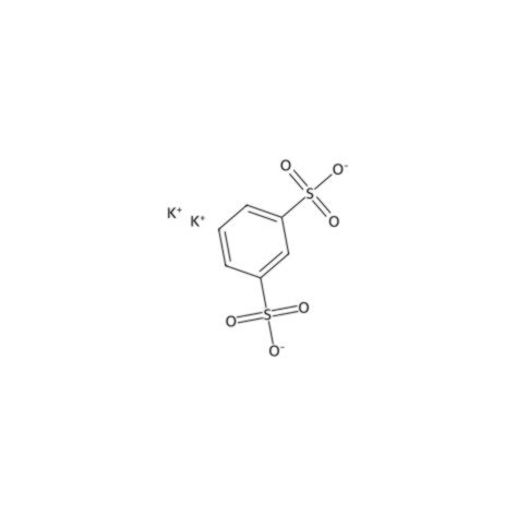 O=S(=O)([O-])c1cccc(S(=O)(=O)[O-])c1.[K+].[K+]